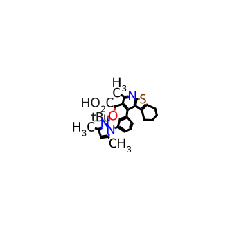 Cc1cc(C)n(-c2cccc(-c3c([C@H](OC(C)(C)C)C(=O)O)c(C)nc4sc5c(c34)CCCC5)c2)n1